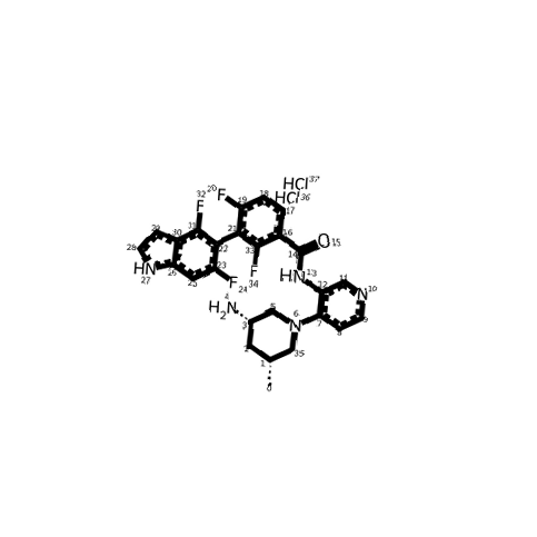 C[C@@H]1C[C@H](N)CN(c2ccncc2NC(=O)c2ccc(F)c(-c3c(F)cc4[nH]ccc4c3F)c2F)C1.Cl.Cl